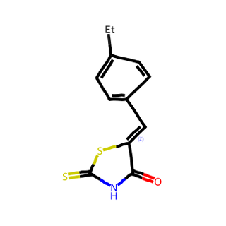 CCc1ccc(/C=C2\SC(=S)NC2=O)cc1